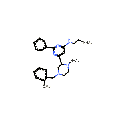 COc1ccccc1CN1CCN(NC(C)=O)C(c2cc(NCCNC(C)=O)nc(-c3ccccc3)n2)C1